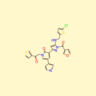 O=C(Cn1cc(-c2ccncc2)cc(-c2cc(NCc3ccc(Cl)s3)n(C(=O)c3ccoc3)n2)c1=O)c1ccsc1